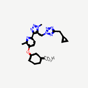 Cc1nc(-c2nnn(C)c2Cn2nnc(CC3CC3)n2)ccc1OC1CCCC(C(=O)O)C1